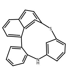 c1cc2cc(c1)sc1ccc3cccc(c3c1)c1ccccc1[nH]2